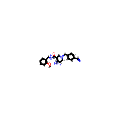 COc1ccccc1CNC(=O)C1=C(N)CCN(Cc2ccc(C#N)cc2)C1